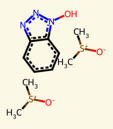 C[S+](C)[O-].C[S+](C)[O-].On1nnc2ccccc21